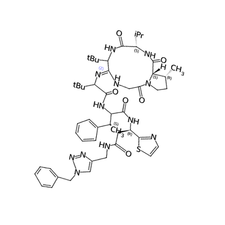 CC(C)[C@@H]1NC(=O)[C@@H]2[C@H](C)CCN2C(=O)CN/C(=N\C(C(=O)NC(C(=O)N[C@H](CC(=O)NCc2cn(Cc3ccccc3)nn2)c2nccs2)[C@@H](C)c2ccccc2)C(C)(C)C)C(C(C)(C)C)NC1=O